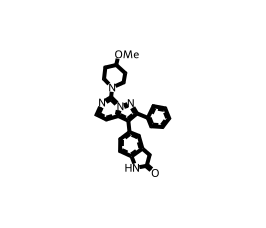 COC1CCN(c2nccc3c(-c4ccc5c(c4)CC(=O)N5)c(-c4ccccc4)nn23)CC1